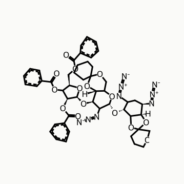 [N-]=[N+]=NC1C[C@@H](N=[N+]=[N-])[C@H]2OC3(CCCCC3)OC2[C@@H]1O[C@H]1OC2COC3(CCCCC3)O[C@H]2[C@H](O[C@@H]2O[C@H](COC(=O)c3ccccc3)C(OC(=O)c3ccccc3)[C@@H]2OC(=O)c2ccccc2)C1N=[N+]=[N-]